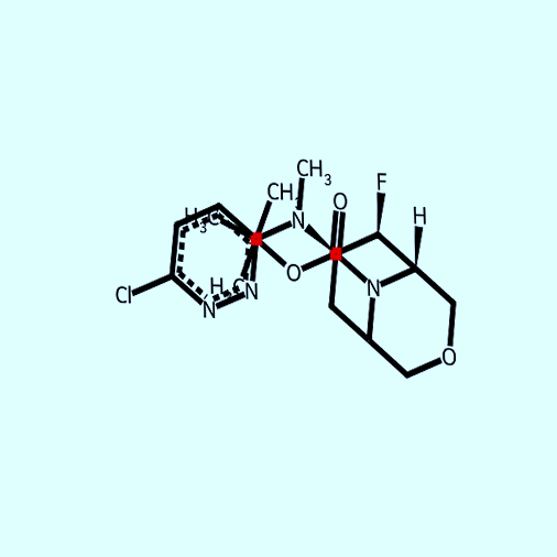 CN(c1ccc(Cl)nn1)[C@@H]1CC2COC[C@@H]([C@@H]1F)N2C(=O)OC(C)(C)C